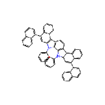 C1=CCC2C(=C1)C(c1cccc3ccccc13)=Cc1c2c2ccc3c(c2n1-c1ccccc1)N(c1ccccc1)C1C=C(c2cccc4ccccc24)c2ccccc2C31